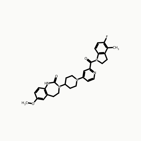 COc1ccc2c(c1)CCN(C1CCN(c3ccnc(C(=O)N4CCc5c4ccc(F)c5C)c3)CC1)C(=O)N2